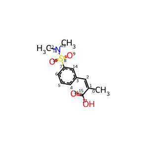 CC(=Cc1cccc(S(=O)(=O)N(C)C)c1)C(=O)O